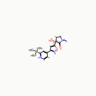 CCC[CH2][Sn]([CH2]CCC)([CH2]CCC)[c]1cc(-c2cc([C@]3(O)CCN(C)C3=O)on2)ccn1